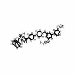 CCOc1cncc(-c2cc(CN3CCN(c4ccc(C(=O)NS(=O)(=O)CC56CC7CC(CC(C7)C5)C6)cc4)CC3)cc(OC(F)(F)F)c2)c1